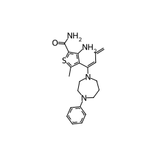 C=C/C=C(\c1c(C)sc(C(N)=O)c1N)N1CCCN(c2ccccc2)CC1